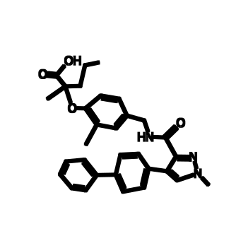 CCCC(C)(Oc1ccc(CNC(=O)c2nn(C)cc2-c2ccc(-c3ccccc3)cc2)cc1C)C(=O)O